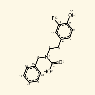 O=C(O)N(CCc1ccc(O)c(F)c1)Cc1ccccc1